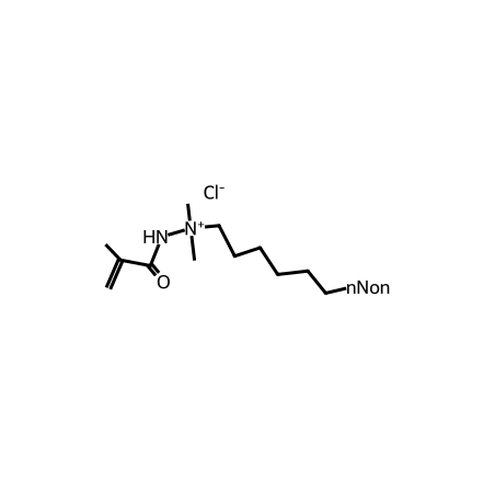 C=C(C)C(=O)N[N+](C)(C)CCCCCCCCCCCCCCC.[Cl-]